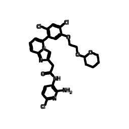 Nc1nc(Cl)ccc1NC(=O)Cc1cn2c(-c3cc(OCCOC4CCCCO4)c(Cl)cc3Cl)cccc2n1